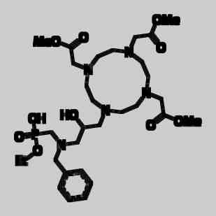 CCOP(=O)(O)CN(Cc1ccccc1)CC(O)CN1CCN(CC(=O)OC)CCN(CC(=O)OC)CCN(CC(=O)OC)CC1